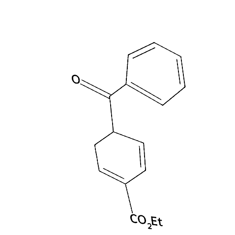 CCOC(=O)C1=CCC(C(=O)c2ccccc2)C=C1